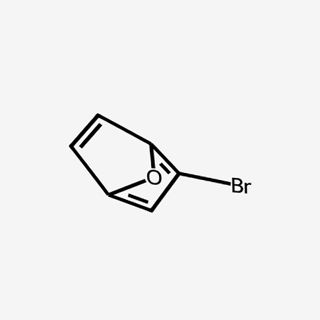 Brc1cc2ccc1o2